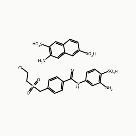 Nc1cc(NC(=O)c2ccc(CS(=O)(=O)CCCl)cc2)ccc1S(=O)(=O)O.Nc1cc2cc(S(=O)(=O)O)ccc2cc1S(=O)(=O)O